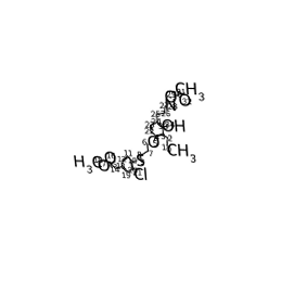 CCCc1c(OCCCSc2ccc(CC(=O)OC)cc2Cl)ccc(CCC=NOC(C)=O)c1O